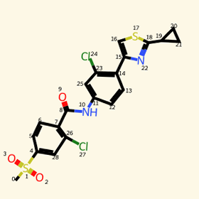 CS(=O)(=O)c1ccc(C(=O)Nc2ccc(-c3csc(C4CC4)n3)c(Cl)c2)c(Cl)c1